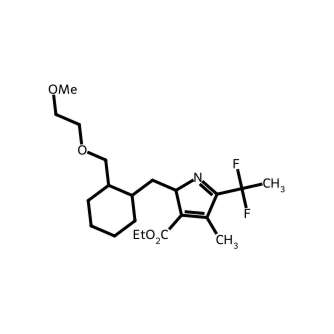 CCOC(=O)C1=C(C)C(C(C)(F)F)=NC1CC1CCCCC1COCCOC